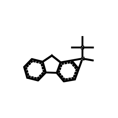 C[Si](C)(C)[Si]1(C)c2ccc3c(c21)[CH]c1ccccc1-3